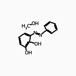 CO.Oc1cccc(N=Nc2ccccc2)c1O